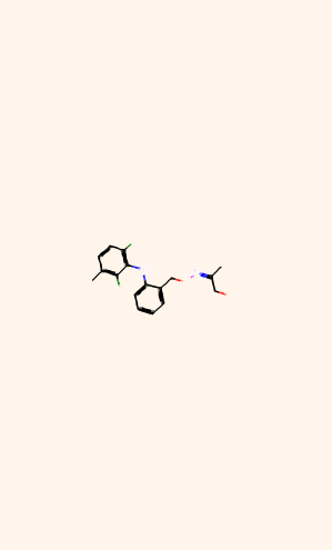 CC(CO)=NOCc1ccccc1Nc1c(Cl)ccc(C)c1Cl